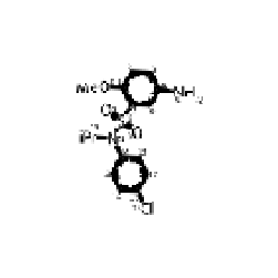 COc1ccc(N)cc1S(=O)(=O)N(c1ccc(Cl)cc1)C(C)C